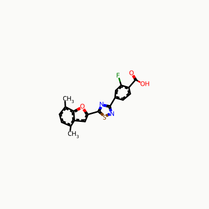 Cc1ccc(C)c2oc(-c3nc(-c4ccc(C(=O)O)c(F)c4)ns3)cc12